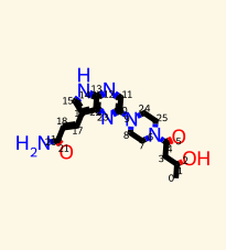 CC(O)CC(=O)N1CCN(c2cnc3[nH]cc(C=CC(N)=O)c3n2)CC1